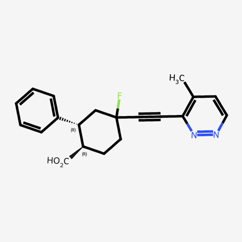 Cc1ccnnc1C#CC1(F)CC[C@@H](C(=O)O)[C@H](c2ccccc2)C1